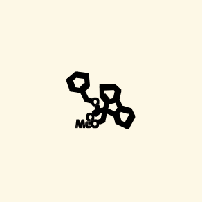 COCC1(C(=O)OCc2ccccc2)c2ccccc2-c2ccccc21